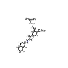 COc1ccc(NC(=O)/C=C/c2ccc3ccccc3c2)cc1OCCCN(C(C)C)C(C)C